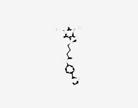 Cn1c(=O)c2c(ncn2CCCC(=O)Nc2ccc(-c3nccs3)cc2)n(C)c1=O